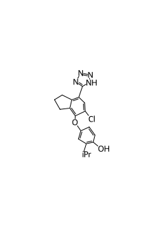 CC(C)c1cc(Oc2c(Cl)cc(-c3nnn[nH]3)c3c2CCC3)ccc1O